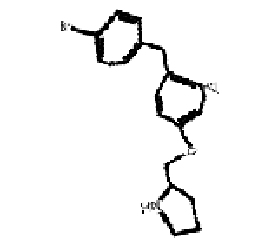 Brc1ccc(Cc2ccc(OCC3CCCN3)cc2)cc1.Cl